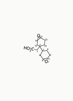 O=C(O)CC1(C2CCC3OC3C2)CCC2OC2C1